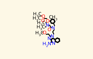 CCN(CC)CC(=O)N(CCCn1c(CCOC)nc2c(N)nc3ccccc3c21)Cc1ccc(C)c(OCC(=O)OC(C)C)c1